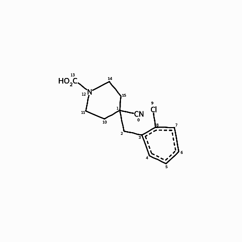 N#CC1(Cc2ccccc2Cl)CCN(C(=O)O)CC1